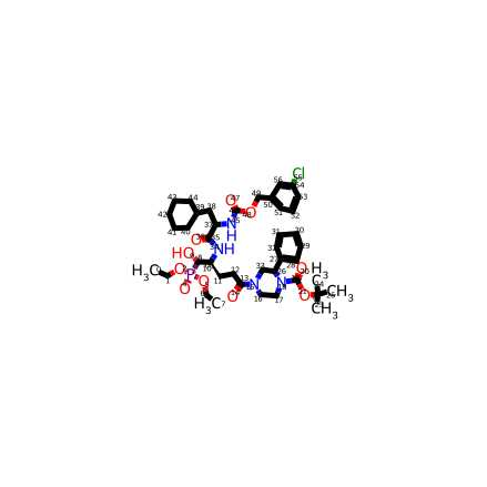 CCOP(=O)(OCC)C(O)[C@H](CCC(=O)N1CCN(C(=O)OC(C)(C)C)C(c2ccccc2)C1)NC(=O)C(CC1CCCCC1)NC(=O)OCc1cccc(Cl)c1